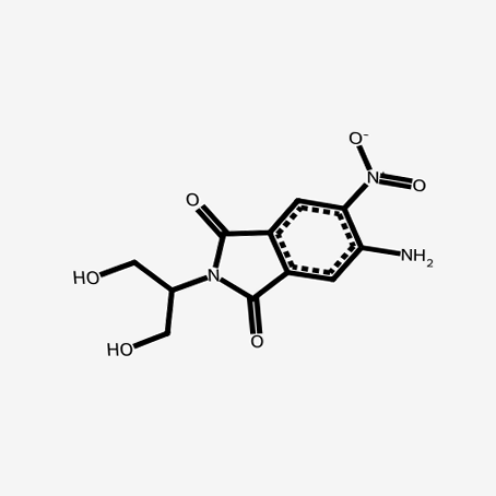 Nc1cc2c(cc1[N+](=O)[O-])C(=O)N(C(CO)CO)C2=O